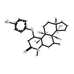 CC1CC2N(C)C(=O)CC(Oc3ccc(C#N)cc3)[C@]2(C)[C@@H]2CC[C@]3(C)CCC[C@H]3[C@H]12